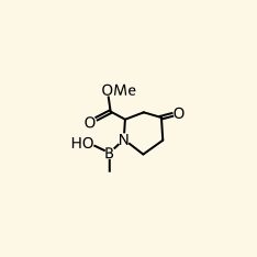 COC(=O)C1CC(=O)CCN1B(C)O